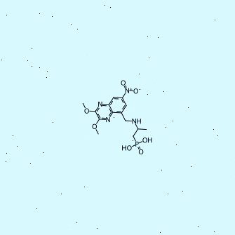 COc1nc2cc([N+](=O)[O-])cc(CNC(C)CP(=O)(O)O)c2nc1OC